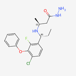 CC[C@@H](N[C@@H](C)CC(=O)NN)c1ccc(Cl)c(Oc2ccccc2)c1F